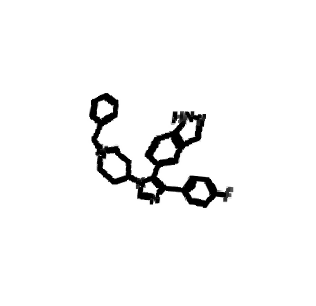 Fc1ccc(-c2ncn(C3CCN(Cc4ccccc4)CC3)c2-c2ccc3[nH]ncc3c2)cc1